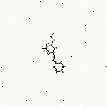 CCCCCC(/C=C/c1ccccc1)OC(C)=O